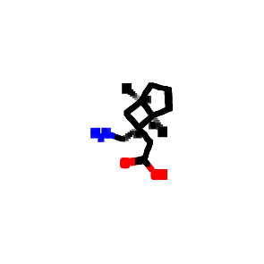 NC[C@]1(CC(=O)O)C[C@H]2CC=C[C@H]21